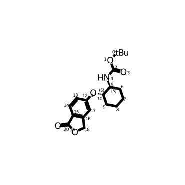 CC(C)(C)OC(=O)N[C@H]1CCCC[C@@H]1Oc1ccc2c(c1)COC2=O